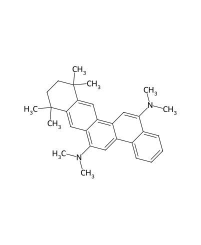 CN(C)c1cc2c3cc4c(cc3c(N(C)C)cc2c2ccccc12)C(C)(C)CCC4(C)C